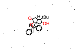 CC(C)(C)[C@H]1[C@H](O)C[C@@]2(C)C(O[SiH](c3ccccc3)c3ccccc3)C(=O)C[C@@H]12